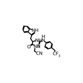 N#CCNC(=O)C(Cc1c[nH]c2ccccc12)NC(=S)Nc1ccc(CC(F)(F)F)cc1